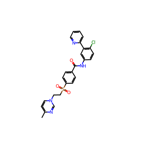 CC1=C=CN(CCS(=O)(=O)c2ccc(C(=O)Nc3ccc(Cl)c(-c4ccccn4)c3)cc2)C=N1